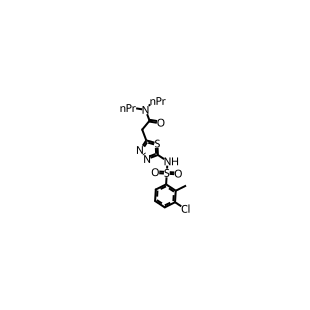 CCCN(CCC)C(=O)Cc1nnc(NS(=O)(=O)c2cccc(Cl)c2C)s1